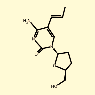 CC=Cc1cn([C@H]2CC[C@@H](CO)O2)c(=O)nc1N